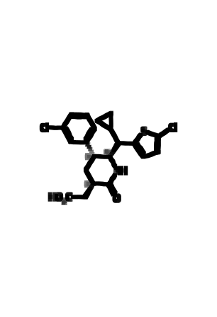 O=C(O)C[C@H]1C[C@H](c2cccc(Cl)c2)[C@@H](C(c2ccc(Cl)s2)C2CC2)NC1=O